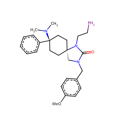 COc1ccc(CN2C[C@]3(CC[C@](c4ccccc4)(N(C)C)CC3)N(CCP)C2=O)cc1